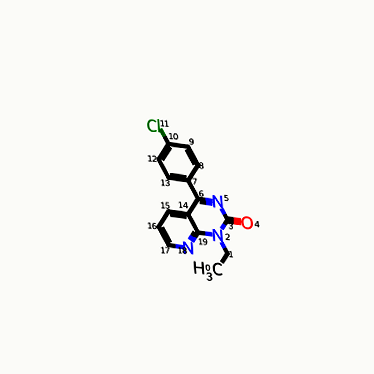 CCn1c(=O)nc(-c2ccc(Cl)cc2)c2cccnc21